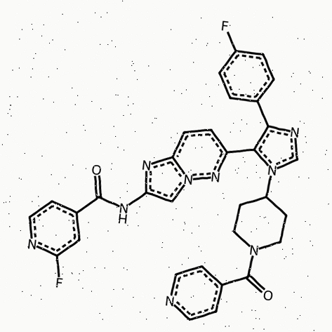 O=C(Nc1cn2nc(-c3c(-c4ccc(F)cc4)ncn3C3CCN(C(=O)c4ccncc4)CC3)ccc2n1)c1ccnc(F)c1